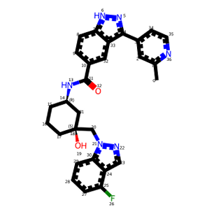 Cc1cc(-c2n[nH]c3ccc(C(=O)N[C@@H]4CCC[C@@](O)(Cn5ncc6c(F)cccc65)C4)cc23)ccn1